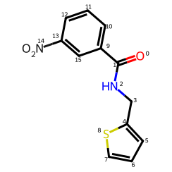 O=C(NCc1cccs1)c1cccc([N+](=O)[O-])c1